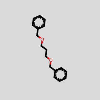 [CH](CCOCc1ccccc1)OCc1ccccc1